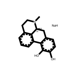 CN1CCc2cccc3c2[C@H]1Cc1ccc(O)c(O)c1-3.[NaH]